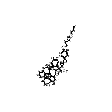 C=CCOOCCCOc1ccc(OOC[C@@](CCC)(c2ccccc2)C2Oc3ccc4c(c3[C@H]3c5ccccc5CC[C@H]3O2)CCCC4)cc1